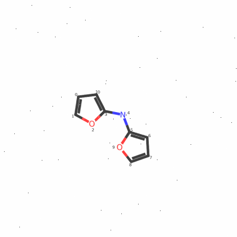 c1coc([N]c2ccco2)c1